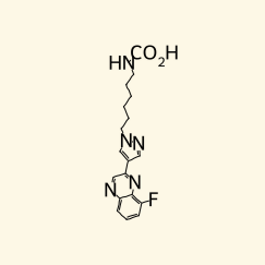 O=C(O)NCCCCCCn1cc(-c2cnc3cccc(F)c3n2)cn1